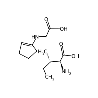 CC[C@H](C)[C@H](N)C(=O)O.O=C(O)CNC1=CCCC1